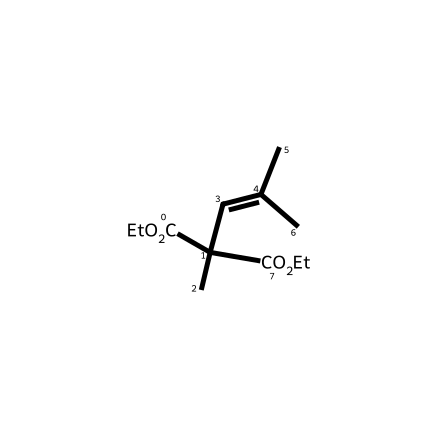 CCOC(=O)C(C)(C=C(C)C)C(=O)OCC